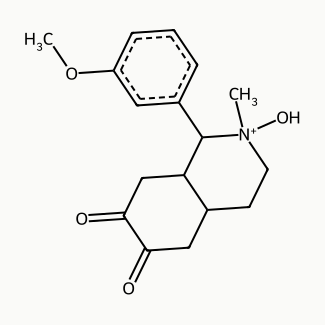 COc1cccc(C2C3CC(=O)C(=O)CC3CC[N+]2(C)O)c1